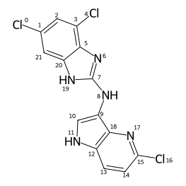 Clc1cc(Cl)c2nc(Nc3c[nH]c4ccc(Cl)nc34)[nH]c2c1